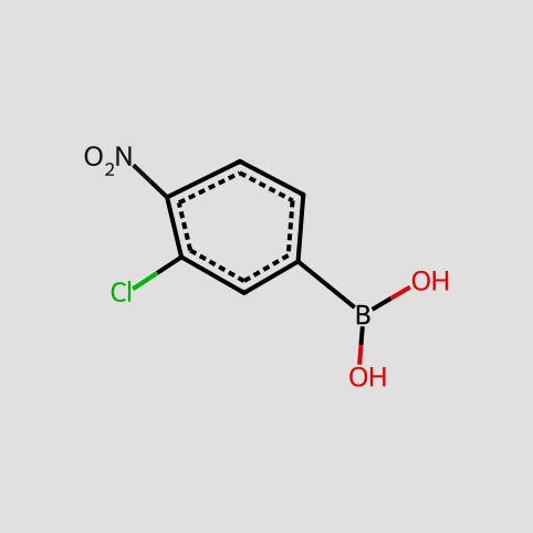 O=[N+]([O-])c1ccc(B(O)O)cc1Cl